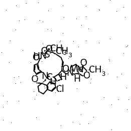 CO[C@]1(CN2CCN3C(=O)[C@H](C)OC[C@@H]3C2)/C=C/C[C@H](C)[C@@H](C)S(=O)(=O)NC(=O)c2ccc3c(c2)N(C[C@@H]2CC[C@H]21)C[C@@]1(CCCc2cc(Cl)ccc21)CO3